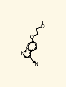 COCCOc1ccc2c(C#N)cnn2c1